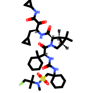 CN(C(C)(C)CF)S(=O)(=O)CC1(NC(=O)N[C@H](C(=O)N2C[C@H]3[C@@H]([C@H]2C(=O)N[C@@H](CC2CC2)C(=O)C(=O)NC2CC2)C3(C)C)C2(C)CCCCC2)CCCCC1